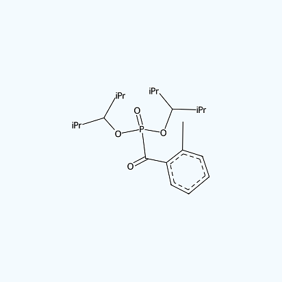 Cc1ccccc1C(=O)P(=O)(OC(C(C)C)C(C)C)OC(C(C)C)C(C)C